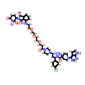 NC1(C(=O)NC(CCN2CCN(C(=O)CCOCCOCCOCCNc3cccc4c3C(=O)N(C3CCC(=O)NC3=O)C4=O)CC2)c2ccc(Cl)cc2)CCN(c2ncnc3[nH]ccc23)CC1